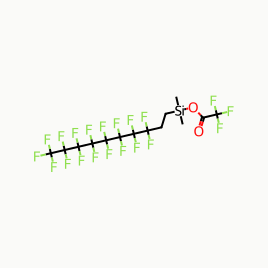 C[Si](C)(CCC(F)(F)C(F)(F)C(F)(F)C(F)(F)C(F)(F)C(F)(F)C(F)(F)C(F)(F)F)OC(=O)C(F)(F)F